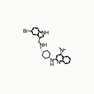 CN(C)c1cc(N[C@H]2CC[C@@H](CNCc3c[nH]c4ccc(Br)cc34)CC2)nc2ccccc12